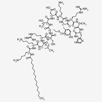 CCCCCCCCCCCCCCCC(=O)N[C@@H](CCCCN)C(=O)N[C@@H](CCCCN)C(=O)N[C@@H](CC(C)C)C(=O)N[C@@H](CCCNC(=N)N)C(=O)N[C@H](CO)C(=O)N[C@@H](CCSC)C(=O)N[C@H](C(=O)N[C@@H](CC(=O)O)C(=O)N[C@@H](CCCCN)C(=O)N[C@@H](Cc1ccc(O)cc1)C(=O)N[C@@H](CCCNC(=N)N)C(=O)N[C@@H](C)C(=O)N[C@@H](Cc1c[nH]cn1)C(N)=O)[C@@H](C)O